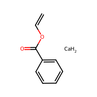 C=COC(=O)c1ccccc1.[CaH2]